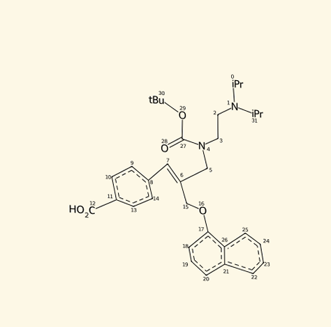 CC(C)N(CCN(C/C(=C/c1ccc(C(=O)O)cc1)COc1cccc2ccccc12)C(=O)OC(C)(C)C)C(C)C